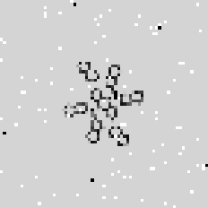 c1ccc2cc(-c3ccc4c(N(c5ccc6ccccc6c5)c5ccc6ccccc6c5)c5cc(-c6ccc7ccccc7c6)ccc5c(N(c5ccc6ccccc6c5)c5ccc6ccccc6c5)c4c3)ccc2c1